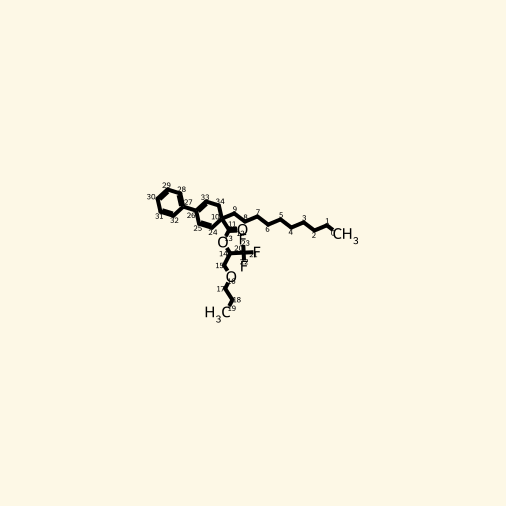 CCCCCCCCCCC1(C(=O)OC(COCCC)C(F)(F)F)C=CC(c2ccccc2)=CC1